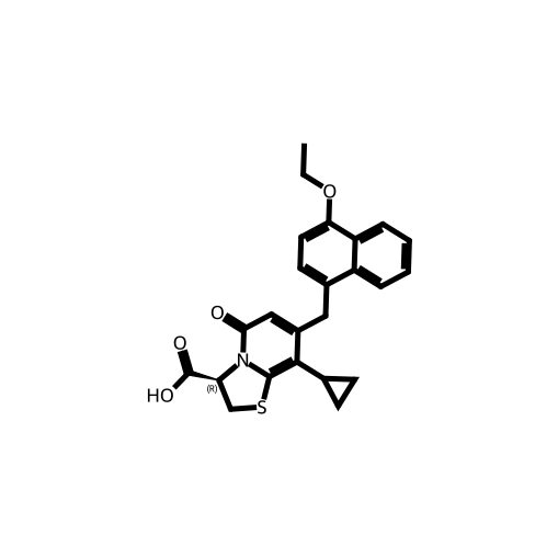 CCOc1ccc(Cc2cc(=O)n3c(c2C2CC2)SC[C@H]3C(=O)O)c2ccccc12